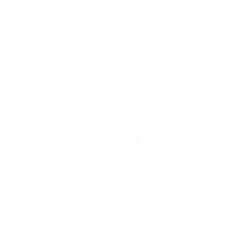 CCCC[N]C(=O)CCC1CCCCC1